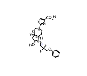 O=C(O)c1csc([C@H]2CC[C@@H]3[C@@H](/C=C/C(F)(F)COc4ccccc4)[C@H](O)C[C@@H]3OC2)n1